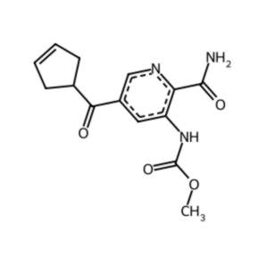 COC(=O)Nc1cc(C(=O)C2CC=CC2)cnc1C(N)=O